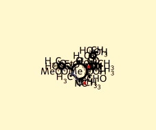 CC#N.CC[C@H]1OC(=O)C[C@@H](O)[C@H](C)[C@@H](O[C@@H]2O[C@H](C)[C@@H](O[C@H]3C[C@@](C)(O)[C@@H](O)[C@H](C)O3)[C@H](N(C)C)[C@H]2O)[C@@H](CC=O)C[C@@H](C)C(=O)/C=C/C(C)=C/C1CO[C@@H]1O[C@H](C)[C@@H](O)[C@@H](OC)[C@H]1OC